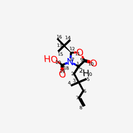 [2H][C@]1(CC(C)(C)CC=C)C(=O)O[C@H](C(C)(C)C)N1C(=O)O